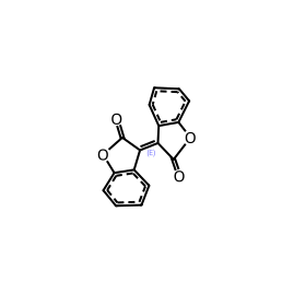 O=C1Oc2ccccc2/C1=C1\C(=O)Oc2ccccc21